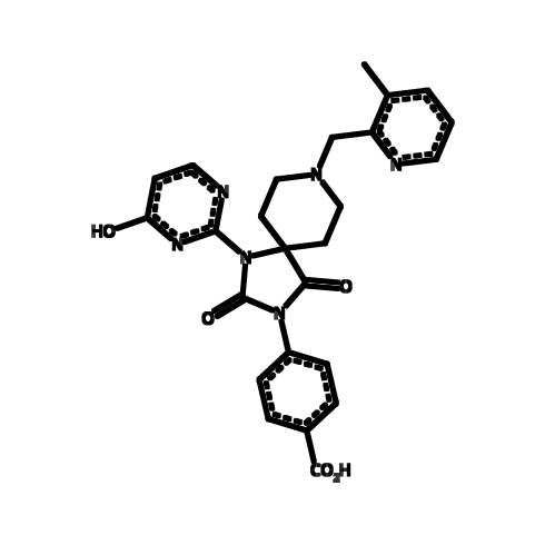 Cc1cccnc1CN1CCC2(CC1)C(=O)N(c1ccc(C(=O)O)cc1)C(=O)N2c1nccc(O)n1